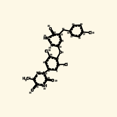 Cc1nn(-c2cc(Cl)c(Oc3cc(Cc4ccc(Cl)cc4)c(=O)[nH]n3)c(Cl)c2)c(=O)[nH]c1=O